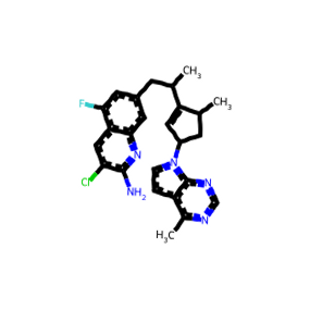 Cc1ncnc2c1ccn2C1C=C(C(C)Cc2cc(F)c3cc(Cl)c(N)nc3c2)C(C)C1